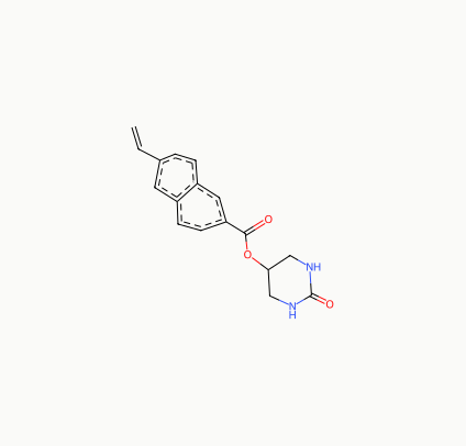 C=Cc1ccc2cc(C(=O)OC3CNC(=O)NC3)ccc2c1